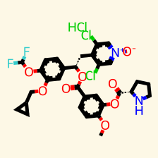 COc1ccc(C(=O)O[C@@H](Cc2c(Cl)c[n+]([O-])cc2Cl)c2ccc(OC(F)F)c(OCC3CC3)c2)cc1OC(=O)[C@@H]1CCCN1.Cl